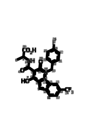 CC(NC(=O)c1c(O)c2cc3ccc(C(F)(F)F)cc3n2n(Cc2ccc(F)cc2)c1=O)C(=O)O